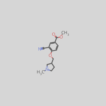 COC(=O)c1ccc(OCC2CCN(C)C2)c(C#N)c1